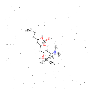 CCCCCCCCCCCCC(CCCCO[Si](C)(C)C(C)(C)C)OC(=O)OCCCN(CC)CC